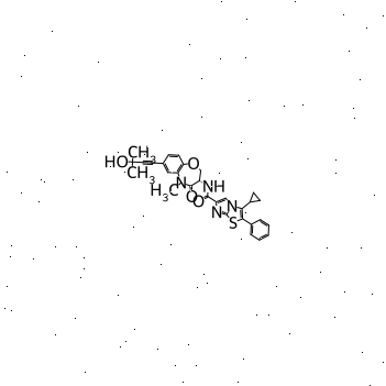 CN1C(=O)[C@@H](NC(=O)c2cn3c(C4CC4)c(-c4ccccc4)sc3n2)COc2ccc(C#CC(C)(C)O)cc21